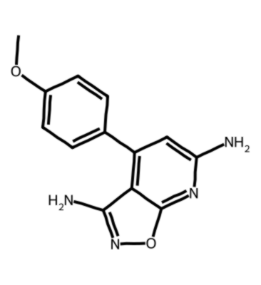 COc1ccc(-c2cc(N)nc3onc(N)c23)cc1